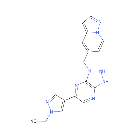 N#CCn1cc(-c2cnc3c(n2)N(Cc2ccn4nccc4c2)NN3)cn1